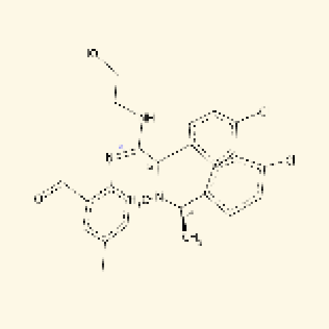 C[C@H](c1ccc(Cl)cc1)N(C)[C@H](/C(=N\c1ccc(I)cc1C=O)NCCO)c1ccc(Cl)cc1